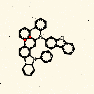 C1=CC2c3ccc4ccc(N(c5ccc6c(c5)oc5ccccc56)c5ccccc5-c5ccccc5)cc4c3N(c3ccccc3)C2C=C1